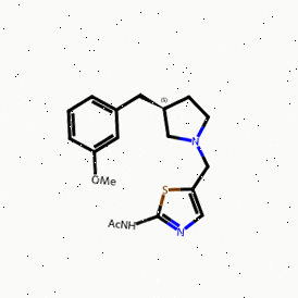 COc1cccc(C[C@H]2CCN(Cc3cnc(NC(C)=O)s3)C2)c1